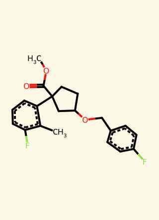 COC(=O)C1(c2cccc(F)c2C)CCC(OCc2ccc(F)cc2)C1